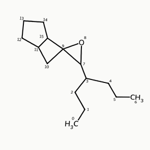 CCCC(CCC)C1OC12CC1CCCC12